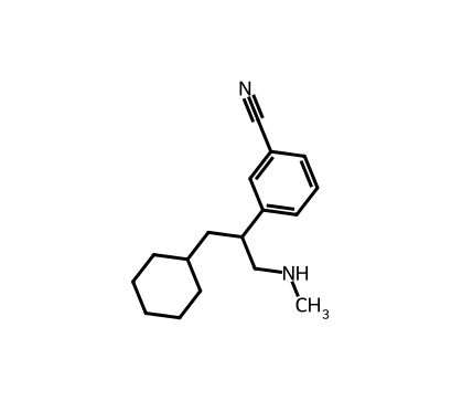 CNCC(CC1CCCCC1)c1cccc(C#N)c1